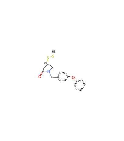 CCSS[C@@H]1CC(=O)N(Cc2ccc(Oc3ccccc3)cc2)C1